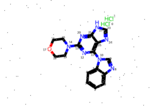 Cl.Cl.c1ccc2c(c1)ncn2-c1nc(N2CCOCC2)nc2[nH]cnc12